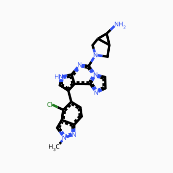 Cn1cc2c(Cl)c(-c3c[nH]c4nc(N5CC6C(N)C6C5)n5ccnc5c34)ccc2n1